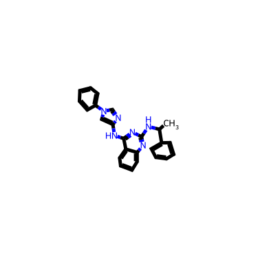 CC(Nc1nc(Nc2cn(-c3ccccc3)cn2)c2ccccc2n1)c1ccccc1